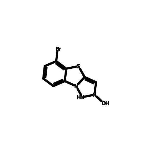 ON1C=C2Sc3c(Br)cccc3N2N1